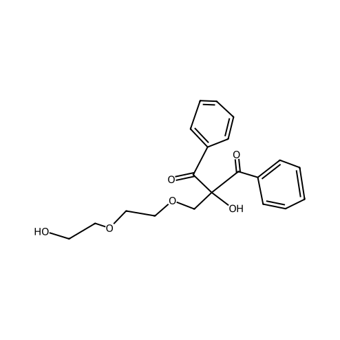 O=C(c1ccccc1)C(O)(COCCOCCO)C(=O)c1ccccc1